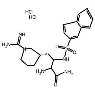 Cl.Cl.N=C(N)N1CCC[C@@H](CC(NS(=O)(=O)c2ccc3ccccc3c2)C(N)C(N)=O)C1